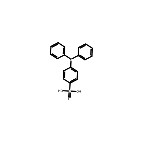 O=P(O)(O)c1ccc(P(c2ccccc2)c2ccccc2)cc1